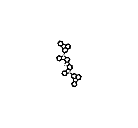 c1ccc2c(c1)-c1cccc3cc(-n4c5ccccc5c5c6oc7c(ccc8c7c7ccccc7n8-c7cc8c9c(cccc9c7)-c7ccccc7-8)c6ccc54)cc-2c13